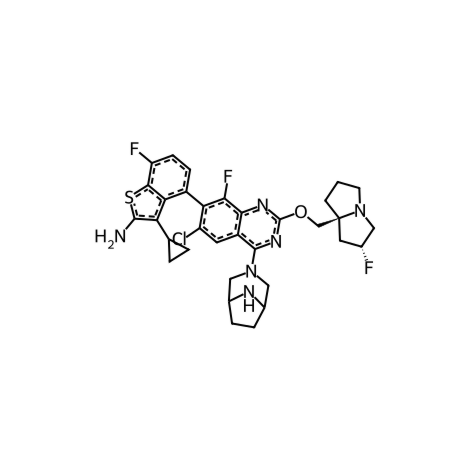 Nc1sc2c(F)ccc(-c3c(Cl)cc4c(N5CC6CCC(C5)N6)nc(OC[C@@]56CCCN5C[C@H](F)C6)nc4c3F)c2c1C1CC1